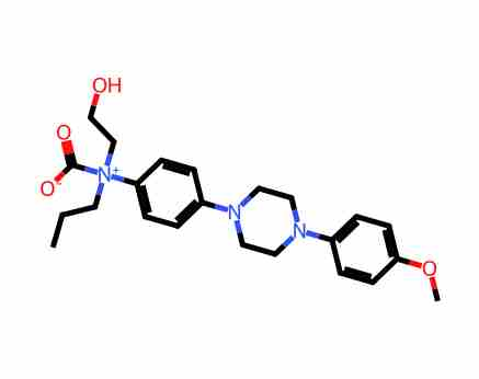 CCC[N+](CCO)(C(=O)[O-])c1ccc(N2CCN(c3ccc(OC)cc3)CC2)cc1